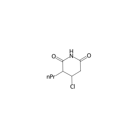 CCCC1C(=O)NC(=O)CC1Cl